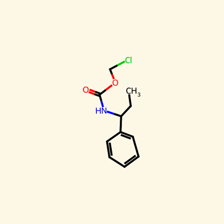 CCC(NC(=O)OCCl)c1ccccc1